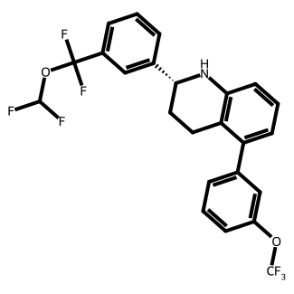 FC(F)OC(F)(F)c1cccc([C@H]2CCc3c(cccc3-c3cccc(OC(F)(F)F)c3)N2)c1